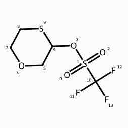 O=S(=O)(OC1COCCS1)C(F)(F)F